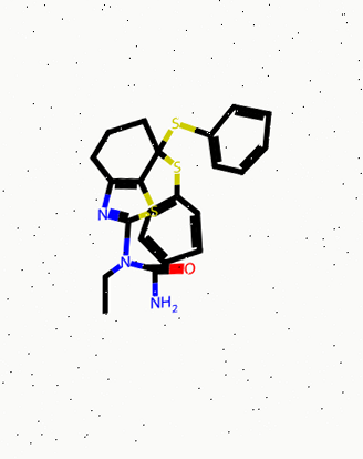 CCN(C(N)=O)c1nc2c(s1)C(Sc1ccccc1)(Sc1ccccc1)CCC2